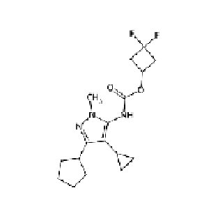 Cn1nc(C2CCCC2)c(C2CC2)c1NC(=O)OC1CC(F)(F)C1